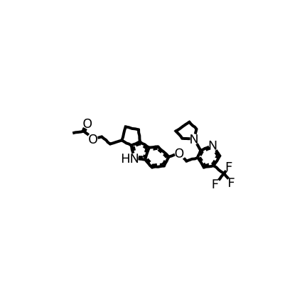 CC(=O)OCCC1CCc2c1[nH]c1ccc(OCc3cc(C(F)(F)F)cnc3N3CCCC3)cc21